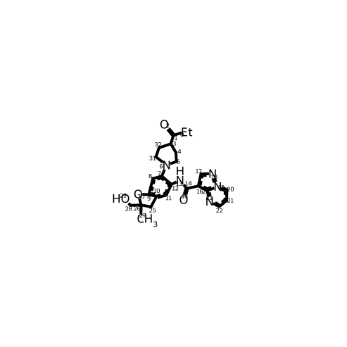 CCC(=O)C1CCN(c2cc3c(cc2NC(=O)c2cnn4cccnc24)CC(C)(CO)O3)CC1